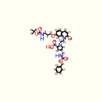 CC(C)(C)OC(=O)NCCCOc1ccc2ccc(=O)n(CCN3C[C@H](CNC(=O)OCc4ccccc4)C[C@H]3C(=O)O)c2c1